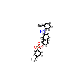 Cc1ccc(S(=O)(=O)Oc2ccc3ccc(Nc4ccccc4C(C)(C)C)cc3c2)cc1